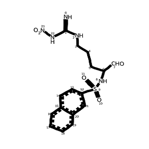 N=C(NCCCC(C=O)NS(=O)(=O)c1ccc2ccccc2c1)N[N+](=O)[O-]